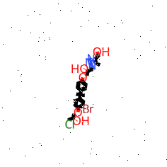 Cc1c(CO)nnn1C[C@@H](O)COc1ccc(C(C)(C)c2ccc(OC[C@H](O)CCl)c(Br)c2)cc1